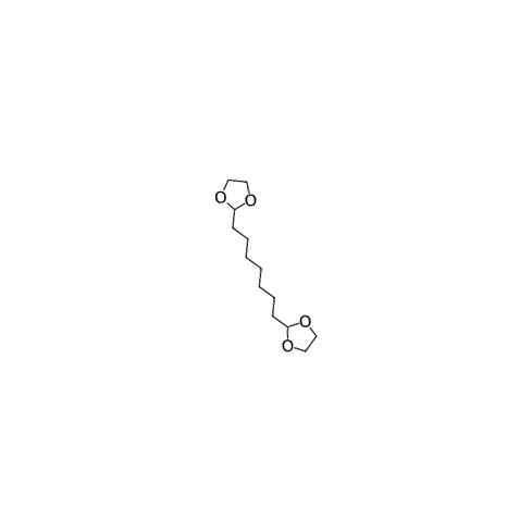 C(CCCC1OCCO1)CCCC1OCCO1